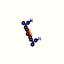 N#Cc1ccc(N(c2ccccc2)c2ccc3cc4c(cc3c2)oc2c4ccc3c4cc5ccc(N(c6ccccc6)c6ccc(C#N)cc6)cc5cc4oc32)cc1